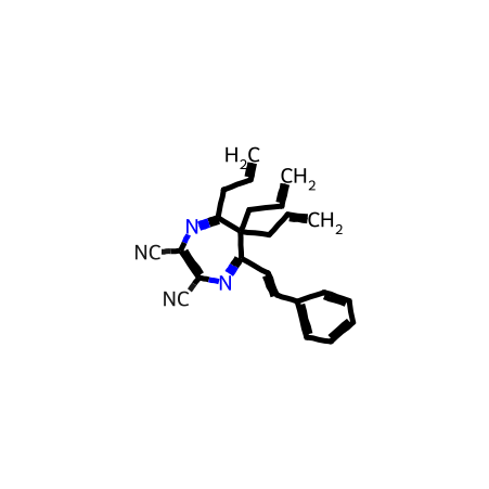 C=CCC1=NC(C#N)=C(C#N)N=C(C=Cc2ccccc2)C1(CC=C)CC=C